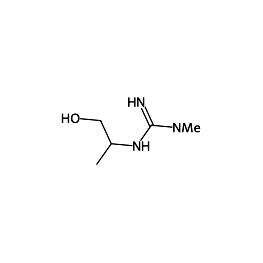 CNC(=N)NC(C)CO